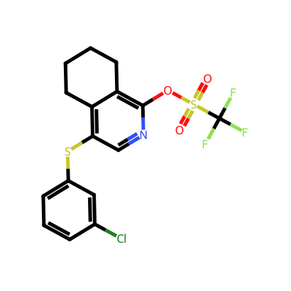 O=S(=O)(Oc1ncc(Sc2cccc(Cl)c2)c2c1CCCC2)C(F)(F)F